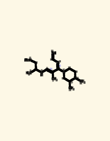 COCC(C)N/C=C(C)/C(=N\C=N)N1CCN(C)C(C)C1